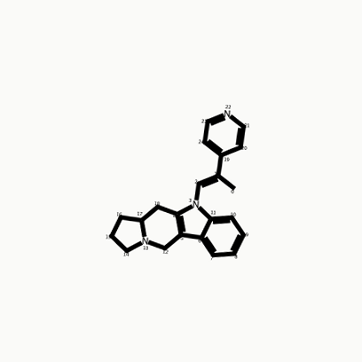 C/C(=C\n1c2c(c3ccccc31)CN1CCCC1C2)c1ccncc1